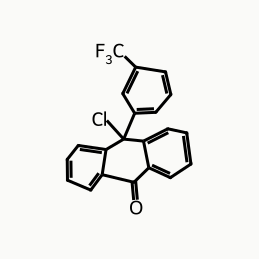 O=C1c2ccccc2C(Cl)(c2cccc(C(F)(F)F)c2)c2ccccc21